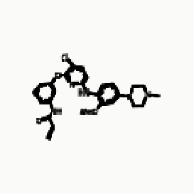 C=CC(=O)Nc1cccc(Oc2nc(Nc3ccc(N4CCN(C)CC4)cc3OC)ccc2Cl)c1